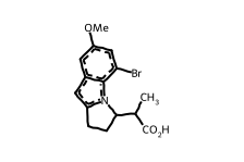 COc1cc(Br)c2c(c1)cc1n2C(C(C)C(=O)O)CC1